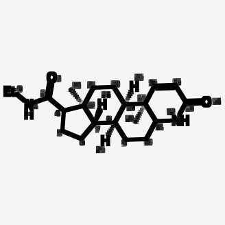 CCNC(=O)C1CC[C@H]2[C@@H]3CCC4NC(=O)C=C[C@]4(C)[C@@H]3CC[C@]12C